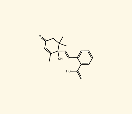 CC1=CC(=O)CC(C)(C)C1(O)C=Cc1ccccc1C(=O)O